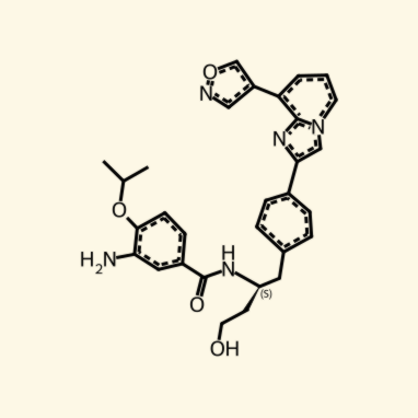 CC(C)Oc1ccc(C(=O)N[C@H](CCO)Cc2ccc(-c3cn4cccc(-c5cnoc5)c4n3)cc2)cc1N